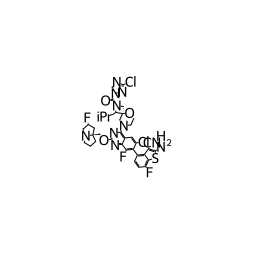 CC(C)C1N(C(=O)n2cnc(Cl)n2)C[C@]12CN(c1nc(OC[C@@]34CCCN3C[C@H](F)C4)nc3c(F)c(-c4ccc(F)c5sc(N)c(C#N)c45)c(Cl)cc13)CCO2